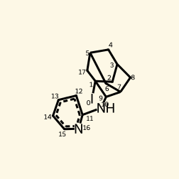 IC12CC3CC(CC(C3)C1Nc1ccccn1)C2